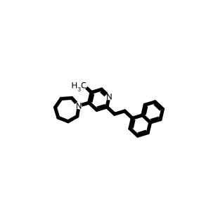 Cc1cnc(CCc2cccc3ccccc23)cc1N1CCCCCC1